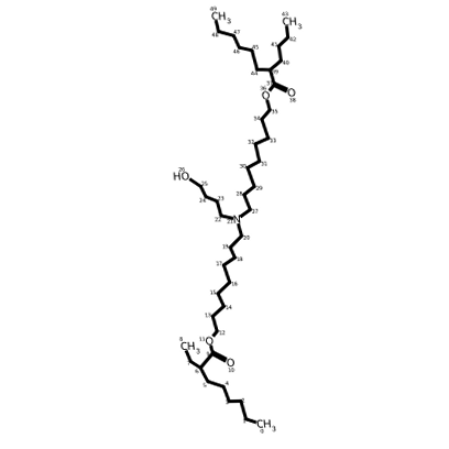 CCCCCCC(CC)C(=O)OCCCCCCCCCN(CCCCO)CCCCCCCCCOC(=O)C(CCCC)CCCCCC